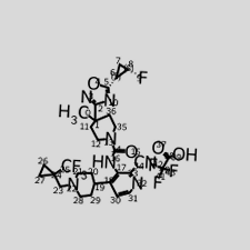 CC1(c2noc([C@@H]3C[C@@H]3F)n2)CCN(C(=O)Nc2c(C3CCN(CC4(C(F)(F)F)CC4)CC3)ccnc2C#N)CC1.O=C(O)C(F)(F)F